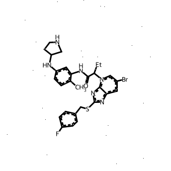 CCC(C(=O)Nc1cc(NC2CCNC2)ccc1C)n1cc(Br)cc2nc(SCc3ccc(F)cc3)nc1-2